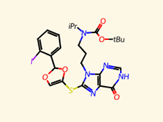 CC(C)N(CCCn1c(SC2=COC(c3ccccc3I)O2)nc2c(=O)[nH]cnc21)C(=O)OC(C)(C)C